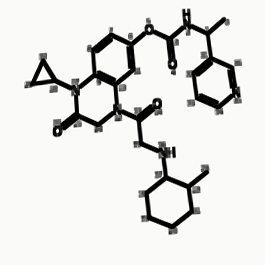 CC(NC(=O)Oc1ccc2c(c1)N(C(=O)CNC1CCCCC1C)CC(=O)N2C1CC1)c1cccnc1